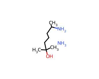 CC(N)CCCC(C)(C)O.N